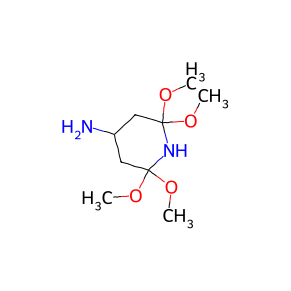 COC1(OC)CC(N)CC(OC)(OC)N1